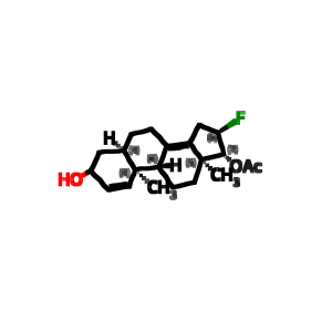 CC(=O)O[C@H]1[C@H](F)CC2=C3CC[C@@H]4CC(O)C=C[C@]4(C)[C@H]3CC[C@@]21C